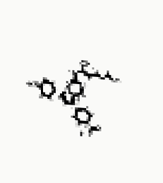 CCCCC[C@H](C)Nc1ncc2c([C@H]3CC[C@@H](C(=O)O)CC3)cc([C@H]3CC[C@H](O)CC3)n2n1